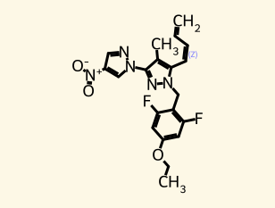 C=C/C=C\c1c(C)c(-n2cc([N+](=O)[O-])cn2)nn1Cc1c(F)cc(OCC)cc1F